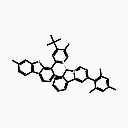 Cc1cc(C)c(-c2cc[n+]3c(c2)-c2ccccc2[C@@H]3[n+]2cc(C)c(C(C)(C)C)cc2-c2c(C)ccc3c2sc2cc(C)ccc23)c(C)c1